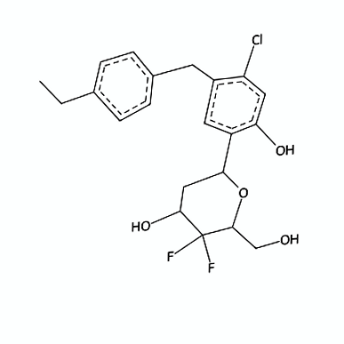 CCc1ccc(Cc2cc(C3CC(O)C(F)(F)C(CO)O3)c(O)cc2Cl)cc1